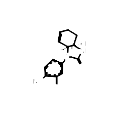 N#Cc1ccc(N2C(=O)N[C@@H]3CCC=C[C@H]32)cc1C(F)(F)F